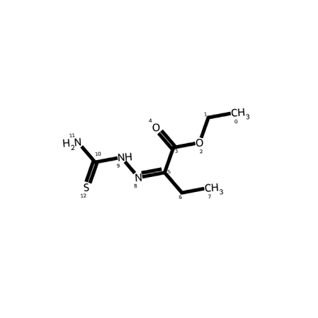 CCOC(=O)/C(CC)=N\NC(N)=S